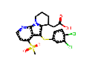 CS(=O)(=O)c1ccnc2c1c(Sc1ccc(Cl)c(Cl)c1)c1n2CCCC1CC(=O)O